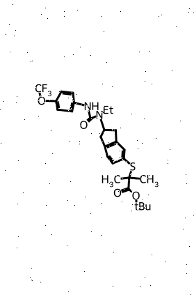 CCN(C(=O)Nc1ccc(OC(F)(F)F)cc1)C1Cc2ccc(SC(C)(C)C(=O)OC(C)(C)C)cc2C1